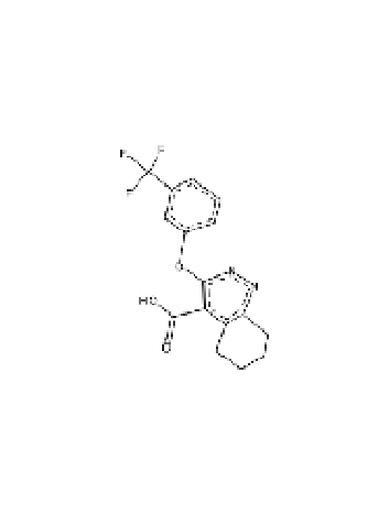 O=C(O)c1c(Oc2cccc(C(F)(F)F)c2)nnc2c1CCCC2